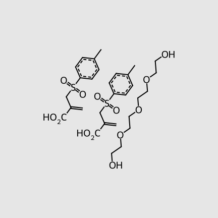 C=C(CS(=O)(=O)c1ccc(C)cc1)C(=O)O.C=C(CS(=O)(=O)c1ccc(C)cc1)C(=O)O.OCCOCCOCCOCCO